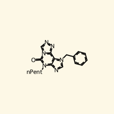 CCCCCn1c(=O)n2cnnc2c2c1ncn2Cc1ccccc1